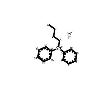 CCC[CH2][Sn]([c]1ccccc1)[c]1ccccc1.[H-]